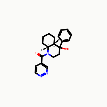 O=C(c1ccnnc1)N1CCC(O)(c2ccccc2)[C@H]2CCCC[C@H]21